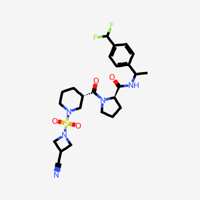 CC(NC(=O)[C@H]1CCCN1C(=O)[C@H]1CCCN(S(=O)(=O)N2CC(C#N)C2)C1)c1ccc(C(F)F)cc1